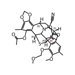 COCOc1c(OC)c(C)cc2c1[C@@H]1C3[C@@H]4SC[C@H](C)C(=O)OC[C@@H](c5c6c(c(C)c(OC(C)=O)c54)OCO6)N3[C@@H](C#N)[C@H](C2)N1C